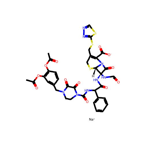 CC(=O)Oc1ccc(CN2CCN(C(=O)NC(C(=O)N[C@]3(NC=O)C(=O)N4C(C(=O)[O-])=C(CSc5nncs5)CS[C@H]43)c3ccccc3)C(=O)C2=O)cc1OC(C)=O.[Na+]